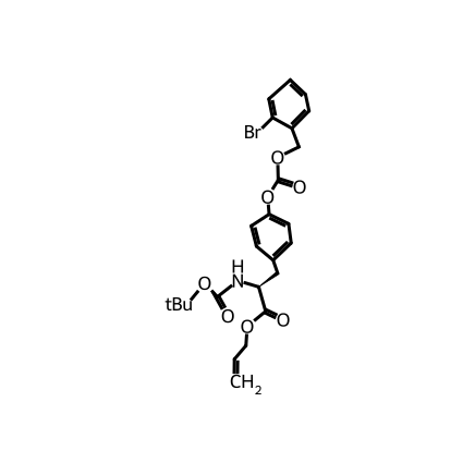 C=CCOC(=O)[C@H](Cc1ccc(OC(=O)OCc2ccccc2Br)cc1)NC(=O)OC(C)(C)C